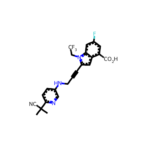 CC(C)(C#N)c1ccc(NCC#Cc2cc3c(C(=O)O)cc(F)cc3n2CC(F)(F)F)cn1